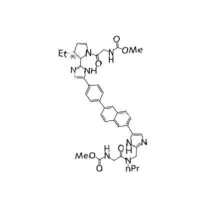 CCCN(Cc1ncc(-c2ccc3cc(-c4ccc(-c5cnc(C6[C@H](CC)CCN6C(=O)CNC(=O)OC)[nH]5)cc4)ccc3c2)[nH]1)C(=O)CNC(=O)OC